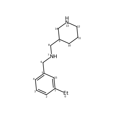 CCc1cccc(CNCC2CCCNC2)c1